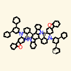 B1c2cc3oc4ccccc4c3cc2N(c2cc(-c3ccccc3)cc(-c3ccccc3)c2)c2cccc(-c3c4[nH]c5ccccc5c4c4c5c3c3ccccc3n5B3c5cc6oc7ccccc7c6cc5N(c5cc(-c6ccccc6)cc(-c6ccccc6)c5)c5cccc-4c53)c21